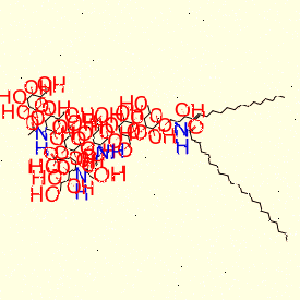 CCCCCCCCCCCCC/C=C/[C@@H](O)[C@H](CO[C@@H]1OC(CO)[C@@H](O[C@@H]2OC(CO)[C@H](O[C@@H]3OC(CO)[C@H](O)[C@H](O[C@@H]4OC(CO)[C@H](O[C@@H]5OC(CO)[C@H](O)[C@H](O[C@@H]6OC(CO)[C@H](O)[C@H](O)C6O)C5NC(C)=O)[C@H](O[C@]5(C(=O)O)CC(O)[C@@H](NC(=O)CO)C([C@H](O)[C@H](O)CO)O5)C4O)C3NC(C)=O)[C@H](O)C2O)[C@H](O)C1O)NC(=O)CCCCCCCCCCCCCCCCCCCCC